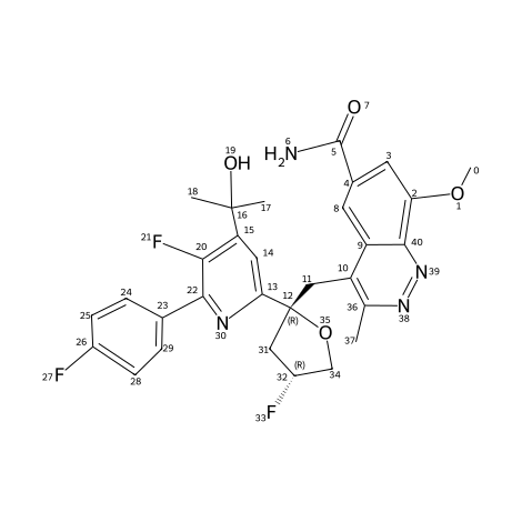 COc1cc(C(N)=O)cc2c(C[C@]3(c4cc(C(C)(C)O)c(F)c(-c5ccc(F)cc5)n4)C[C@@H](F)CO3)c(C)nnc12